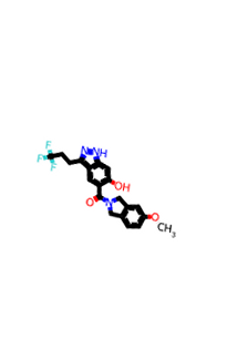 COc1ccc2c(c1)CN(C(=O)c1cc3c(CCC(F)(F)F)n[nH]c3cc1O)C2